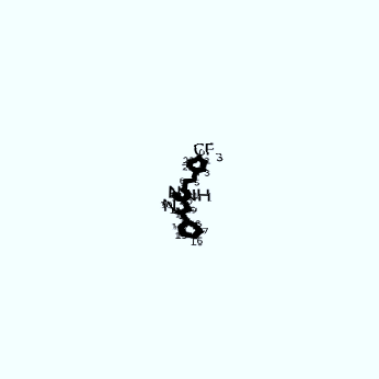 FC(F)(F)c1ccc(CCc2nc3ncc(-c4ccccc4)cc3[nH]2)cc1